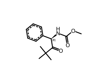 COC(=O)N[C@@H](C(=O)C(C)(C)C)c1ccccc1